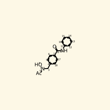 CC(=O)N(O)Cc1ccc(C(=O)Nc2ccccc2)cc1